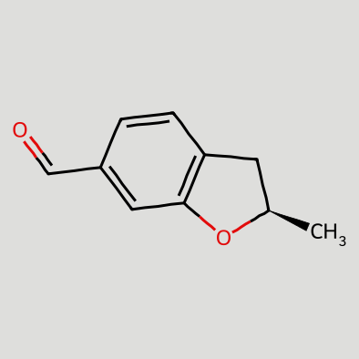 C[C@@H]1Cc2ccc(C=O)cc2O1